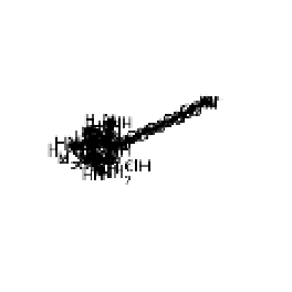 Cl.[N-]=[N+]=NCCOCCOCCOCCOCCOCCOCCOCCOCCOCCC(=O)N[C@@H](CC1CCCCC1)C(=O)N[C@H](CCCNC(=N)N)C(=O)N[C@@H](CC1CCCCC1)C(=O)N[C@H](CCCNC(=N)N)C(=O)N[C@@H](CC1CCCCC1)C(=O)N[C@H](CCCNC(=N)N)C(N)=O